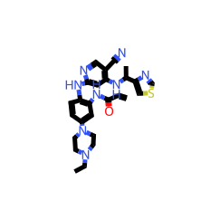 C=CC(=O)Nc1cc(N2CCN(CC)CC2)ccc1Nc1cc(NC(C)c2cscn2)c(C#N)cn1